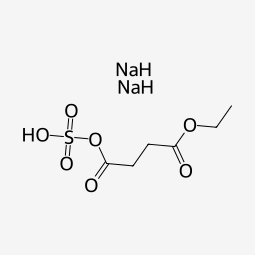 CCOC(=O)CCC(=O)OS(=O)(=O)O.[NaH].[NaH]